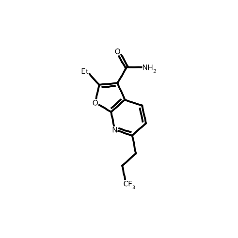 CCc1oc2nc(CCC(F)(F)F)ccc2c1C(N)=O